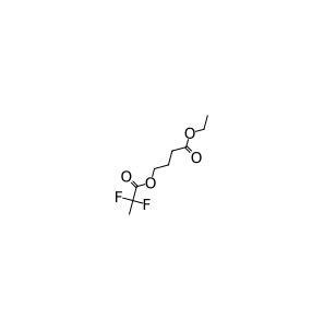 CCOC(=O)CCCOC(=O)C(C)(F)F